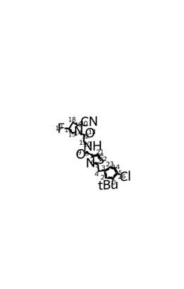 CC(C)(C)c1cc(Cc2nc(C(=O)NCC(=O)N3CC(F)C[C@H]3C#N)cs2)ccc1Cl